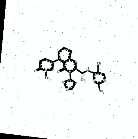 C[C@@H](Nc1nc(N)ncc1C#N)c1nc2cccc(-c3ccc(=O)n(C)c3)c2c(=O)n1-c1ccon1